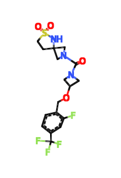 O=C(N1CC(OCc2ccc(C(F)(F)F)cc2F)C1)N1CC2(CCS(=O)(=O)N2)C1